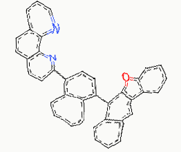 c1ccc2c(-c3ccc(-c4ccc5ccc6cccnc6c5n4)c4ccccc34)c3oc4ccccc4c3cc2c1